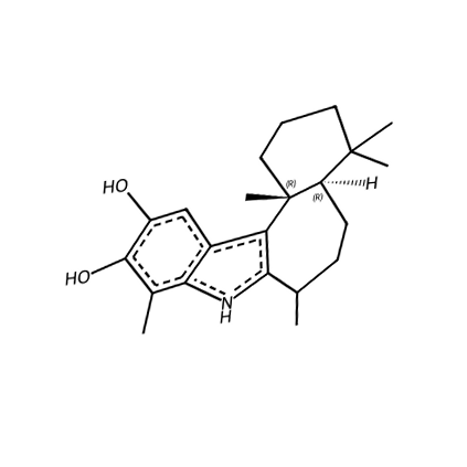 Cc1c(O)c(O)cc2c3c([nH]c12)C(C)CC[C@@H]1C(C)(C)CCC[C@@]31C